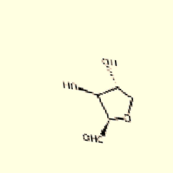 O=C[C@@H]1OC[C@@H](O)[C@@H]1O